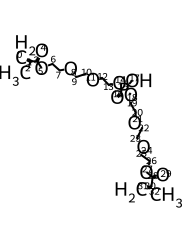 C=C(C)C(=O)OCCOCCOCCOP(=O)(O)OCCOCCOCCOC(=O)C(=C)C